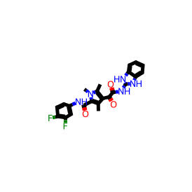 Cc1c(C(=O)C(=O)NC2Nc3ccccc3N2)c(C)n(C)c1C(=O)Nc1ccc(F)c(F)c1